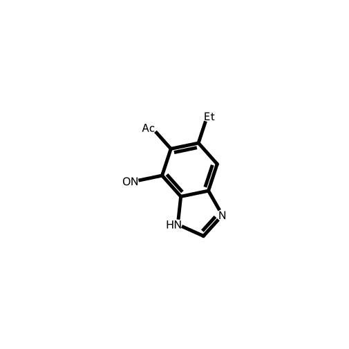 CCc1cc2nc[nH]c2c(N=O)c1C(C)=O